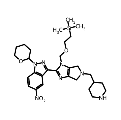 C[Si](C)(C)CCOCn1c(-c2nn(C3CCCCO3)c3ccc([N+](=O)[O-])cc23)nc2c1CN(CC1CCNCC1)C2